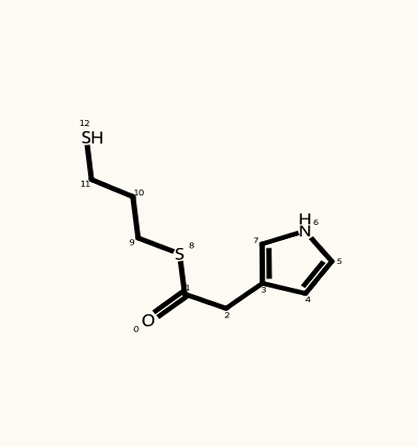 O=C(Cc1cc[nH]c1)SCCCS